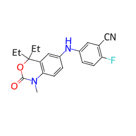 CCC1(CC)OC(=O)N(C)c2ccc(Nc3ccc(F)c(C#N)c3)cc21